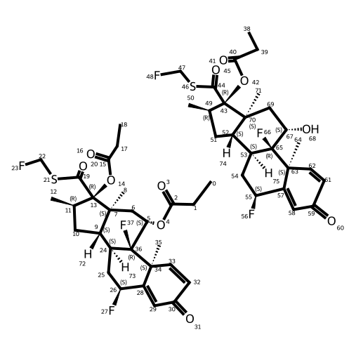 CCC(=O)O[C@H]1C[C@@]2(C)[C@@H](C[C@@H](C)[C@]2(OC(=O)CC)C(=O)SCF)[C@@H]2C[C@H](F)C3=CC(=O)C=C[C@]3(C)[C@@]12F.CCC(=O)O[C@]1(C(=O)SCF)[C@H](C)C[C@H]2[C@@H]3C[C@H](F)C4=CC(=O)C=C[C@]4(C)[C@@]3(F)[C@@H](O)C[C@@]21C